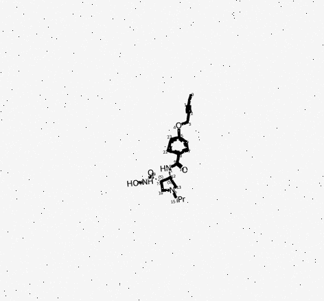 CC#CCOc1ccc(C(=O)N[C@@H]2CN(C(C)C)C[C@@H]2C(=O)NO)cc1